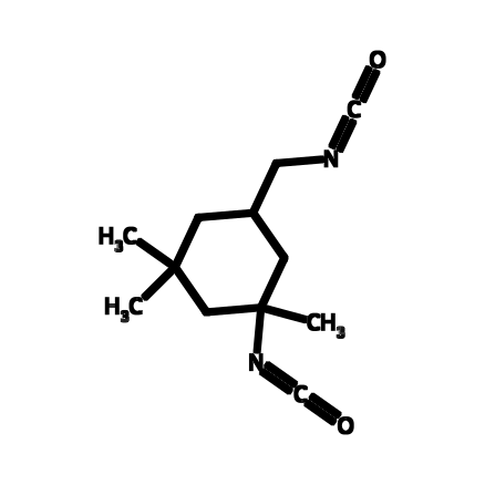 CC1(C)CC(CN=C=O)CC(C)(N=C=O)C1